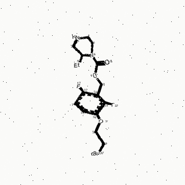 CCC1CNCCN1C(=O)OCc1c(F)ccc(OCCC(C)(C)C)c1F